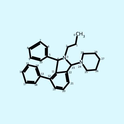 CCCN1C(c2ccccc2)c2c(-c3ccccc3)cccc2C1N1CCCCC1